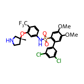 COc1cc(-c2cc(Cl)cc(Cl)c2)c(S(=O)(=O)Nc2ccc(C(F)(F)F)c(O[C@]3(C)CCNC3)c2)cc1OC